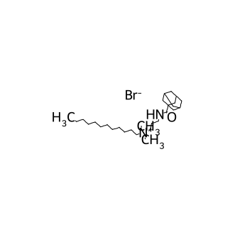 CCCCCCCCCCCC[N+](C)(C)CCCNC(=O)C12CC3CC(CC(C3)C1)C2.[Br-]